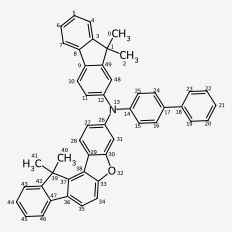 CC1(C)c2ccccc2-c2ccc(N(c3ccc(-c4ccccc4)cc3)c3ccc4c(c3)oc3ccc5c(c34)C(C)(C)c3ccccc3-5)cc21